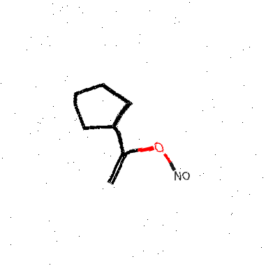 C=C(ON=O)C1CCCC1